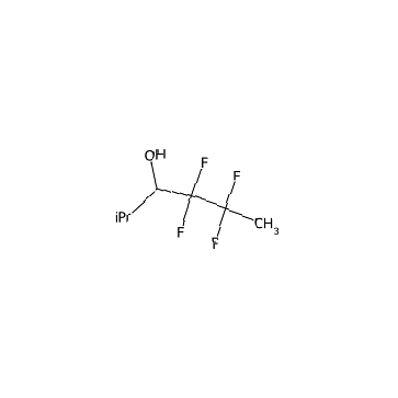 CC(C)C(O)C(F)(F)C(C)(F)F